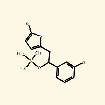 C[Si](C)(C)OC(Cc1ccc(Br)s1)c1cccc(Cl)c1